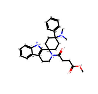 COC(=O)CCC(=O)N1CCc2c([nH]c3ccccc23)C12CCC(c1ccccc1)(N(C)C)CC2